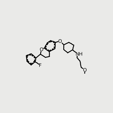 COCCCNC1CCC(Oc2ccc3c(c2)CCC(c2ccccc2F)O3)CC1